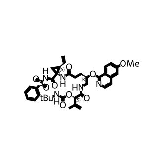 C=C[C@@H]1C[C@]1(NC(=O)CC[C@H](CNC(=O)[C@@H](OC(=O)NC(C)(C)C)C(=C)C)Oc1nccc2cc(OC)ccc12)C(=O)NS(=O)(=O)c1ccccc1